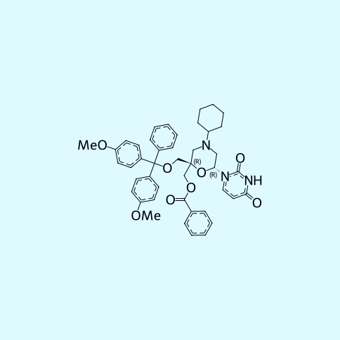 COc1ccc(C(OC[C@@]2(COC(=O)c3ccccc3)CN(C3CCCCC3)C[C@H](n3ccc(=O)[nH]c3=O)O2)(c2ccccc2)c2ccc(OC)cc2)cc1